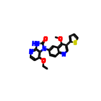 CCOc1ccnc2[nH]c(=O)n(-c3ccc4ncc(-c5cccs5)c(OC)c4c3)c12